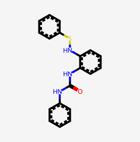 O=C(Nc1ccccc1)Nc1ccccc1NSc1ccccc1